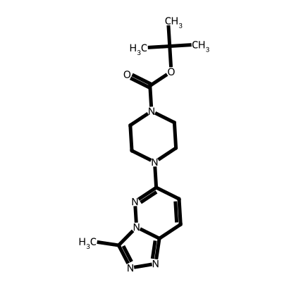 Cc1nnc2ccc(N3CCN(C(=O)OC(C)(C)C)CC3)nn12